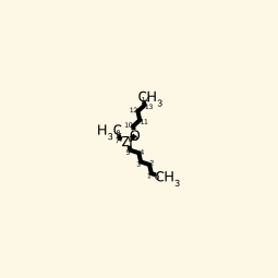 CCCCC[CH2][Zr]([CH2]C)[O]CCCCC